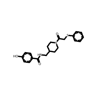 O=C(NCC1CCN(C(=O)CSc2ccccc2)CC1)c1ccc(O)cc1